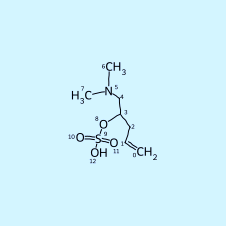 C=CCC(CN(C)C)OS(=O)(=O)O